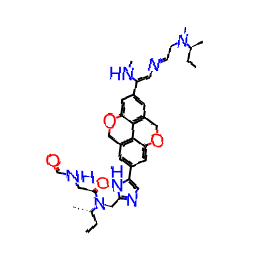 CC[C@H](C)N(C)C/C=N/C=C(\NC)c1cc2c3c(c1)OCc1cc(-c4cnc(CN(C(=O)CNC=O)[C@@H](C)CC)[nH]4)cc(c1-3)OC2